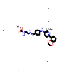 COc1nc(-c2cccc3c2OCCO3)ccc1Nc1ccc(CNCCNC(=O)OC(C)(C)C)cc1